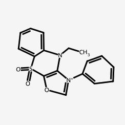 CCN1c2ccccc2S(=O)(=O)c2oc[n+](-c3ccccc3)c21